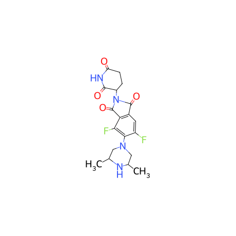 CC1CN(c2c(F)cc3c(c2F)C(=O)N(C2CCC(=O)NC2=O)C3=O)CC(C)N1